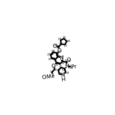 COCCOc1cc(C(=O)N(C(C)C)[C@@H]2CCCNC2)nc2c(OC(=O)C3CCCC3)cccc12